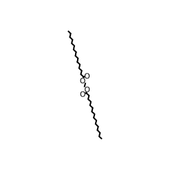 CCCCCCCCCCCCCCCC(=O)OCCOC(=O)CCCCCCCCCCCCCCC